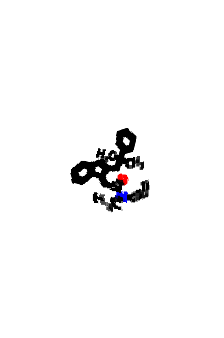 CN([Si](=O)CC1C(CC(C)(C)c2ccccc2)=Cc2ccccc21)C(C)(C)C.[Ti]